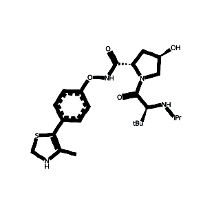 CC1=C(c2ccc(ONC(=O)[C@@H]3C[C@@H](O)CN3C(=O)[C@@H](NC(C)C)C(C)(C)C)cc2)SCN1